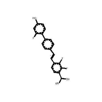 CCCC(O)c1ccc(/C=C/c2ccc(-c3ccc(O)cc3F)cc2)c(F)c1F